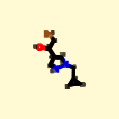 O=C(CBr)c1cnn(CC2CC2)c1